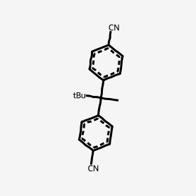 CC(C)(C)C(C)(c1ccc(C#N)cc1)c1ccc(C#N)cc1